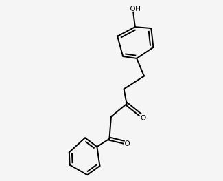 O=C(CCc1ccc(O)cc1)CC(=O)c1ccccc1